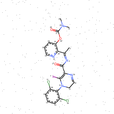 CC(=NC(=O)C1=C(I)N(c2c(Cl)cccc2Cl)CC=N1)c1ncccc1OC(=O)N(C)C